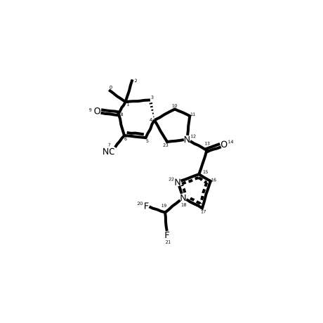 CC1(C)C[C@]2(C=C(C#N)C1=O)CCN(C(=O)c1ccn(C(F)F)n1)C2